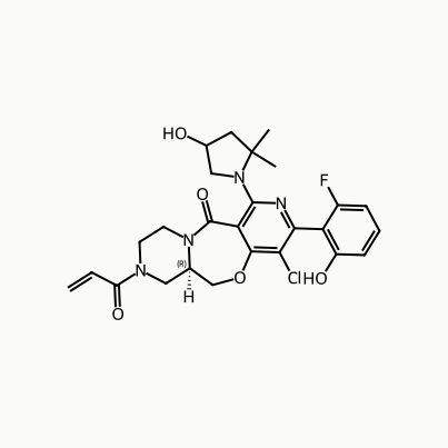 C=CC(=O)N1CCN2C(=O)c3c(N4CC(O)CC4(C)C)nc(-c4c(O)cccc4F)c(Cl)c3OC[C@H]2C1